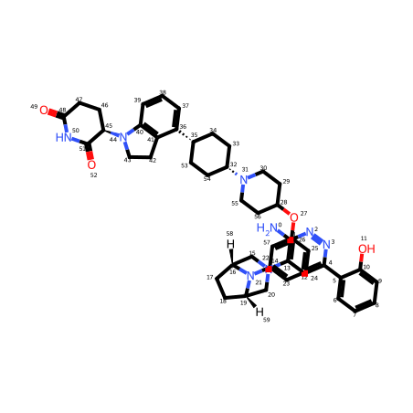 Nc1nnc(-c2ccccc2O)cc1N1C[C@H]2CC[C@@H](C1)N2c1cccc(OC2CCN([C@H]3CC[C@@H](c4cccc5c4CCN5[C@@H]4CCC(=O)NC4=O)CC3)CC2)c1